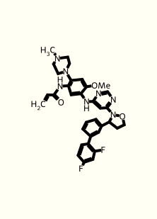 C=CC(=O)Nc1cc(Nc2cc(N3OCCC3c3cccc(-c4ccc(F)cc4F)c3)ncn2)c(OC)cc1N1CCN(C)CC1